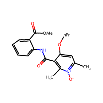 CCCOc1cc(C)[n+]([O-])c(C)c1C(=O)Nc1ccccc1C(=O)OC